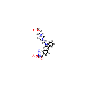 Cc1c(Cc2ccc(C(=O)NO)cc2)c2ccccc2n1CCN1CCN(CCO)CC1